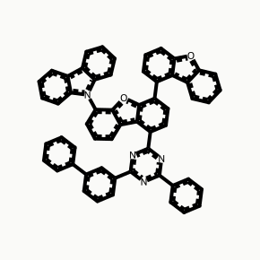 c1ccc(-c2cccc(-c3nc(-c4ccccc4)nc(-c4ccc(-c5cccc6oc7ccccc7c56)c5oc6c(-n7c8ccccc8c8ccccc87)cccc6c45)n3)c2)cc1